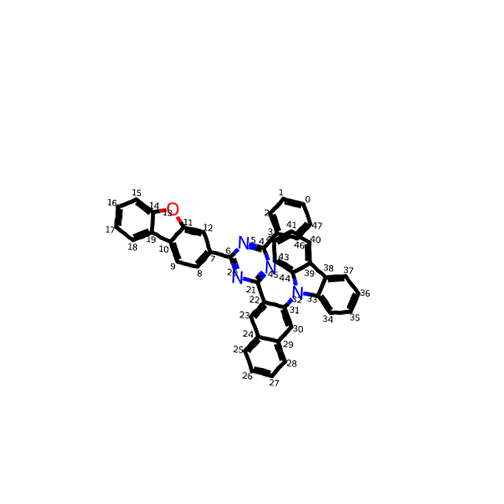 c1ccc(-c2nc(-c3ccc4c(c3)oc3ccccc34)nc(-c3cc4ccccc4cc3-n3c4ccccc4c4ccccc43)n2)cc1